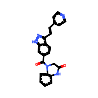 O=C1CN(C(=O)c2ccc3c(C=Cc4ccncc4)n[nH]c3c2)c2ccccc2N1